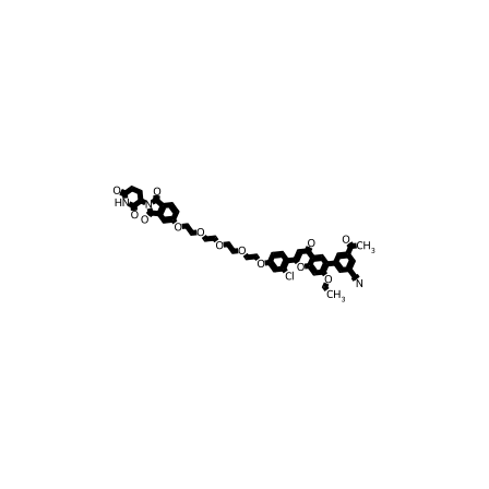 CCOc1cc2oc(-c3ccc(OCCOCCOCCOCCOc4ccc5c(c4)C(=O)N(C4CCC(=O)NC4=O)C5=O)cc3Cl)cc(=O)c2cc1-c1cc(C#N)cc(C(C)=O)c1